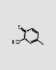 CC1=CC(O)C(=S)[C]=C1